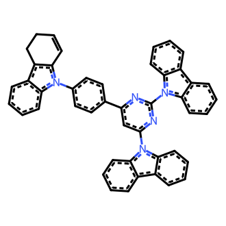 C1=Cc2c(c3ccccc3n2-c2ccc(-c3cc(-n4c5ccccc5c5ccccc54)nc(-n4c5ccccc5c5ccccc54)n3)cc2)CC1